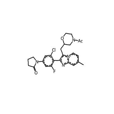 CC(=O)N1CCOC(Cc2c(-c3c(F)cc(N4CCCC4=O)cc3Cl)nc3cc(C)ccn23)C1